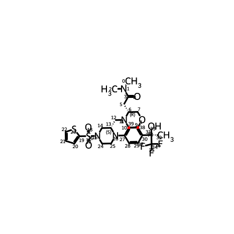 CN(C)C(=O)C[C@@H]1COCCN1C[C@H]1CN(S(=O)(=O)c2cccs2)CCN1c1ccc([C@@](C)(O)C(F)(F)F)cc1